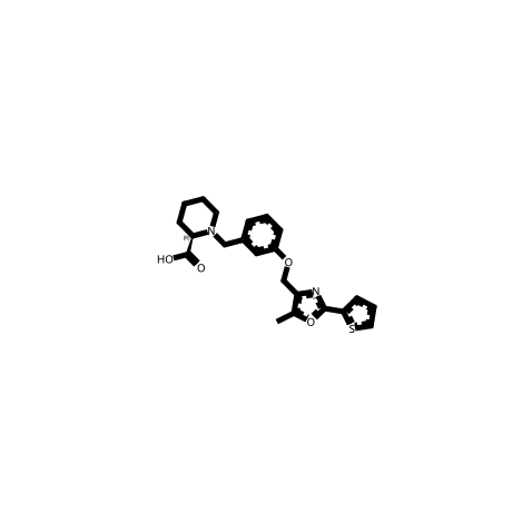 Cc1oc(-c2cccs2)nc1COc1cccc(CN2CCCC[C@@H]2C(=O)O)c1